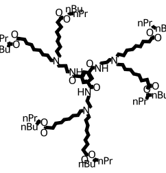 CCCCC(CCC)OC(=O)CCCCCCCCN(CCCCCCCCC(=O)OC(CCC)CCCC)CCCNC(=O)c1cc(C(=O)NCCCN(CCCCCCCCC(=O)OC(CCC)CCCC)CCCCCCCCC(=O)OC(CCC)CCCC)cc(C(=O)NCCCN(CCCCCCCCC(=O)OC(CCC)CCCC)CCCCCCCCC(=O)OC(CCC)CCCC)c1